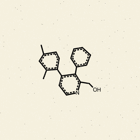 Cc1ccc(-c2ccnc(CO)c2-c2ccccc2)c(C)c1